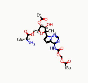 CCC(=O)O[C@H]1[C@@H](O)[C@](C)(c2ccc3c(NC(=O)OCOC(=O)C(C)(C)C)ncnn23)O[C@@H]1COC(=O)[C@@H](N)C(C)(C)C